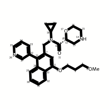 COCCCOc1cc(CN(C(=O)[C@H]2CNCCO2)C2CC2)c(-c2cccnc2)c2ccccc12